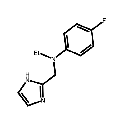 CCN(Cc1ncc[nH]1)c1ccc(F)cc1